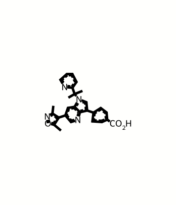 Cc1noc(C)c1-c1cnc2c(-c3ccc(C(=O)O)cc3)cn(C(C)(C)c3ccccn3)c2c1